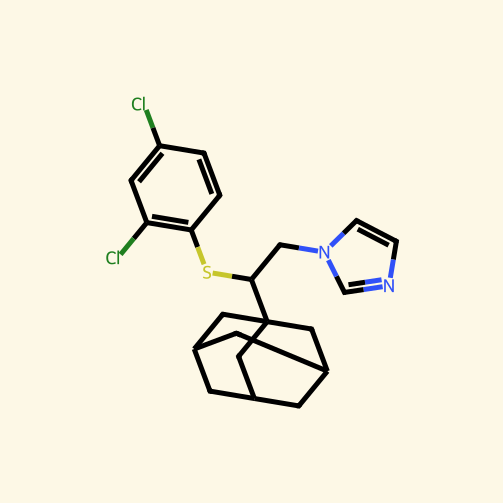 Clc1ccc(SC(Cn2ccnc2)C23CC4CC(CC(C4)C2)C3)c(Cl)c1